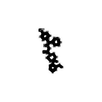 CCc1ccccc1C1(C)CCN(C(=O)CNC(c2ccc(Cl)cc2)c2cccnc2)CC1